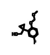 COCOc1ccc(F)cc1C1(CO)CC1